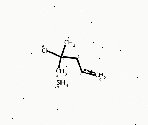 C=CCC(C)(C)Cl.[SiH4]